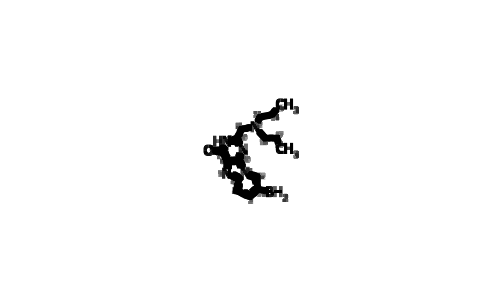 Bc1ccc2nc3c(=O)[nH]c(CN(CCC)CCC)nc3n2c1